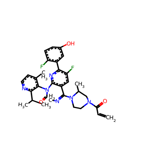 C=CC(=O)N1CCN(/C(=N/C)c2cc(F)c(-c3cc(O)ccc3F)nc2N(C=O)c2c(C)ccnc2C(C)C)C(C)C1